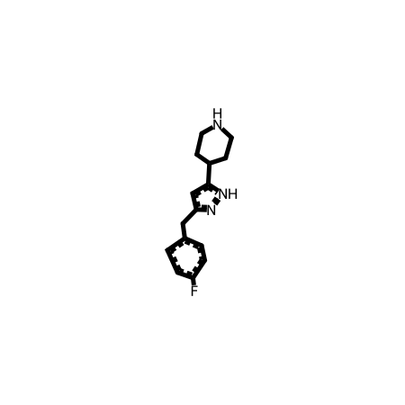 Fc1ccc(Cc2cc(C3CCNCC3)[nH]n2)cc1